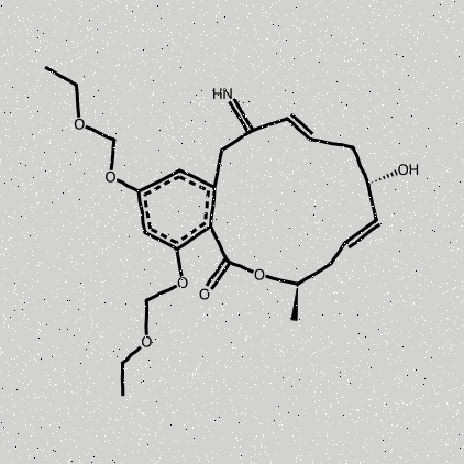 CCOCOc1cc2c(c(OCOCC)c1)C(=O)O[C@H](C)C/C=C/[C@@H](O)C/C=C/C(=N)C2